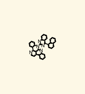 c1ccc2c(c1)-c1nccc3c1c(nc1ccccc13)N2c1nc(-c2cccc3ccccc23)c2ccccc2n1